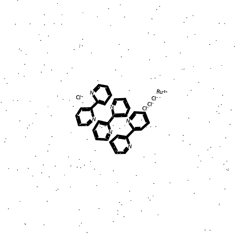 [Cl-].[Cl-].[Cl-].[Cl-].[Ru+4].c1ccc(-c2ccccn2)nc1.c1ccc(-c2ccccn2)nc1.c1ccc(-c2ccccn2)nc1